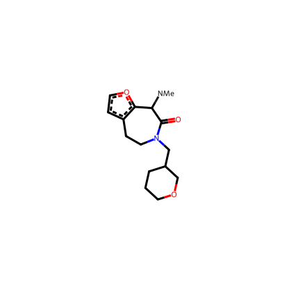 CNC1C(=O)N(CC2CCCOC2)CCc2ccoc21